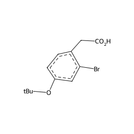 CC(C)(C)Oc1ccc(CC(=O)O)c(Br)c1